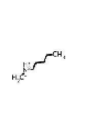 [CH2-][NH2+]CCCCC